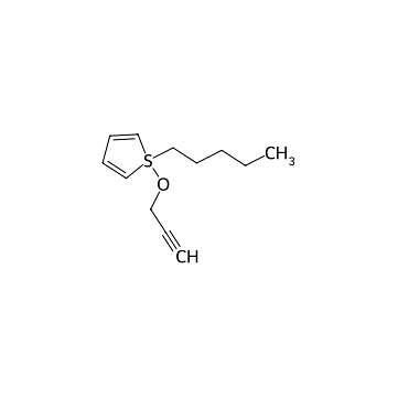 C#CCOS1(CCCCC)C=CC=C1